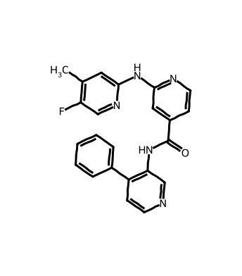 Cc1cc(Nc2cc(C(=O)Nc3cnccc3-c3ccccc3)ccn2)ncc1F